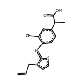 C=CCn1ccs/c1=N\c1ccc(C(C)C(=O)O)cc1Cl